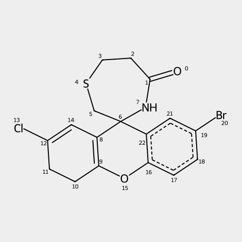 O=C1CCSCC2(N1)C1=C(CCC(Cl)=C1)Oc1ccc(Br)cc12